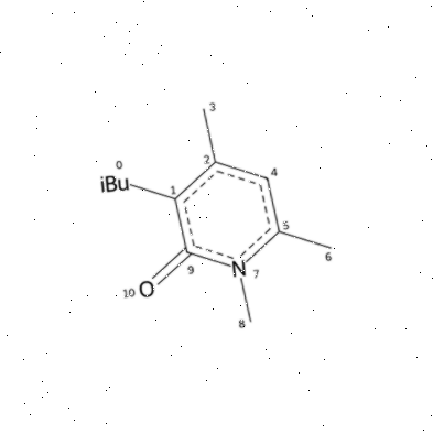 CCC(C)c1c(C)cc(C)n(C)c1=O